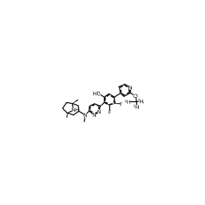 [2H]C([2H])([2H])Oc1cc(-c2cc(O)c(-c3ccc(N(C)C4C[C@]5(C)CC[C@](C)(C4)N5)nn3)c(F)c2F)ccn1